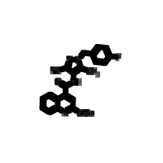 COc1cc(C(=O)Nc2c(C#N)nn(Cc3ccc(F)cc3)c2C)c2ccccc2n1